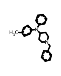 Cc1ccc(N(c2ccccc2)C2CCN(Cc3ccccc3)CC2)cc1